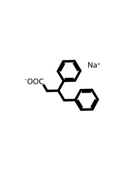 O=C([O-])CC(Cc1ccccc1)c1ccccc1.[Na+]